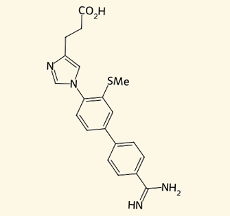 CSc1cc(-c2ccc(C(=N)N)cc2)ccc1-n1cnc(CCC(=O)O)c1